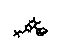 CC1=NC2=CC(CCC(C)(F)F)=NC2C(N2C3CC4CC2CC(C3)O4)=C1F